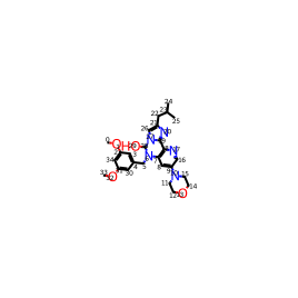 COc1cc(CN2c3cc(N4CCOCC4)cnc3-c3nc(CC(C)C)cn3C2O)cc(OC)c1